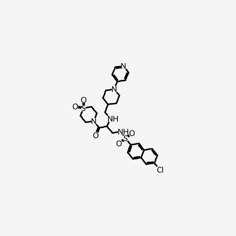 O=C(C(CNS(=O)(=O)c1ccc2cc(Cl)ccc2c1)NCC1CCN(c2ccncc2)CC1)N1CCS(=O)(=O)CC1